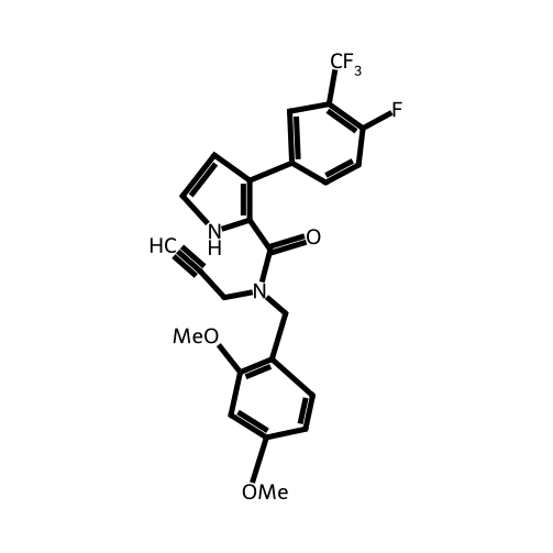 C#CCN(Cc1ccc(OC)cc1OC)C(=O)c1[nH]ccc1-c1ccc(F)c(C(F)(F)F)c1